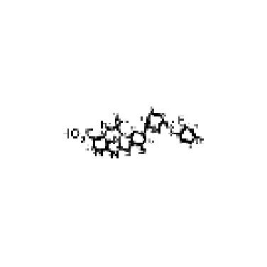 Cc1ccc(COc2cccc(-c3ccc(Cc4nc5ncc(C(=O)O)cc5n4CC4(CF)CC4)c(F)c3)n2)c(F)c1